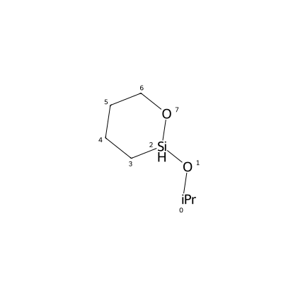 CC(C)O[SiH]1CCCCO1